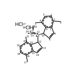 Cc1ccc(C)c2c1C=C[CH]2[Zr]([CH]1C=Cc2c(C)ccc(C)c21)=[Si](C)C.Cl.Cl